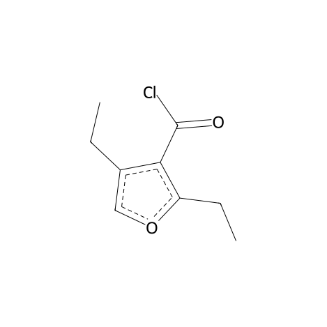 CCc1coc(CC)c1C(=O)Cl